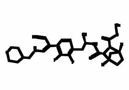 CC(C)(C)OC(=O)N1[C@@H]2CC[C@@H](C2)[C@H]1C(=O)N[C@H](C#N)Cc1ccc(/C(C=N)=C/NCC2CCOCC2)c(F)c1F